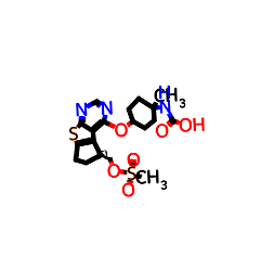 CC1(NC(=O)O)CCC(Oc2ncnc3sc4c(c23)[C@@H](COS(C)(=O)=O)CC4)CC1